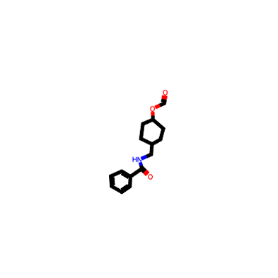 O=COC1CCC(CNC(=O)c2ccccc2)CC1